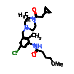 COCCCC(=O)Nc1cc(Cl)cc(CN2CCN(C(=O)CC3CC3)[C@@H](C)C2)c1C